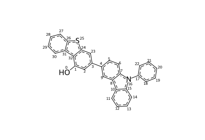 Oc1cc(-c2ccc3c(c2)c2ccccc2n3-c2ccccc2)cc2sc3ccccc3c12